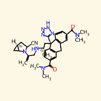 C=C(CN[C@@H](C)CC1(c2nn[nH]n2)c2ccc(C(=O)N(C)C)cc2Cc2cc(C(=O)N(C)C)ccc21)N1C(C#N)C[C@@H]2CC21